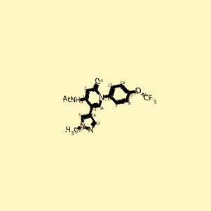 CC(=O)Nc1cc(=O)n(-c2ccc(OC(F)(F)F)cc2)cc1-c1cnn(C)c1